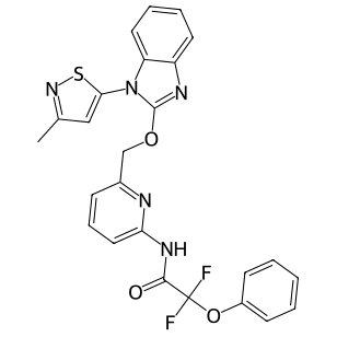 Cc1cc(-n2c(OCc3cccc(NC(=O)C(F)(F)Oc4ccccc4)n3)nc3ccccc32)sn1